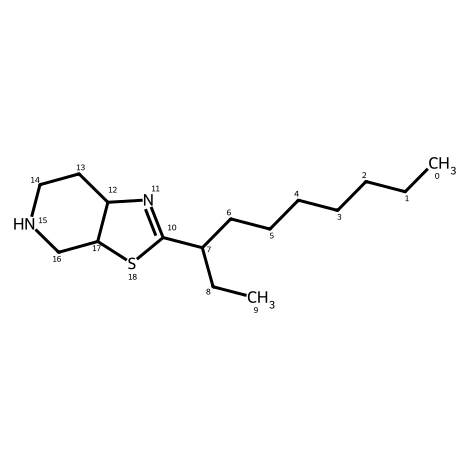 CCCCCCCC(CC)C1=NC2CCNCC2S1